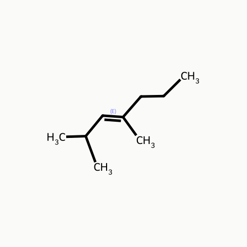 CCC/C(C)=C/C(C)C